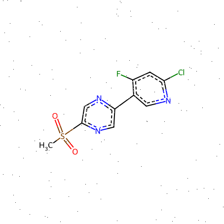 CS(=O)(=O)c1cnc(-c2cnc(Cl)cc2F)cn1